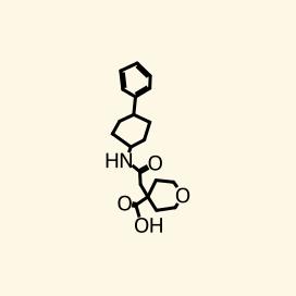 O=C(CC1(C(=O)O)CCOCC1)NC1CCC(c2ccccc2)CC1